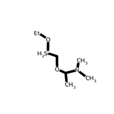 CCO[SiH2]COC(C)N(C)C